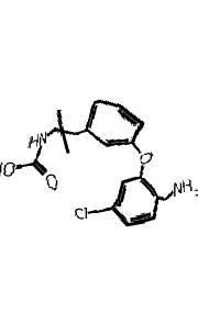 CC(C)(NC(=O)O)c1cccc(Oc2cc(Cl)ccc2N)c1